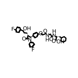 O=C(COc1ccc([C@@H]2[C@@H](CC[C@H](O)c3ccc(F)cc3)C(=O)N2c2ccc(F)cc2)cc1)NCC(=O)N[C@H](CC1CCCCC1)C(=O)O